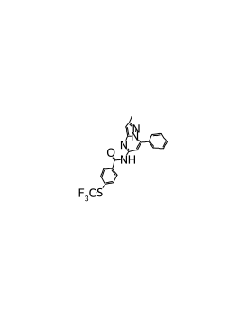 Cc1cc2nc(NC(=O)c3ccc(SC(F)(F)F)cc3)cc(-c3ccccc3)n2n1